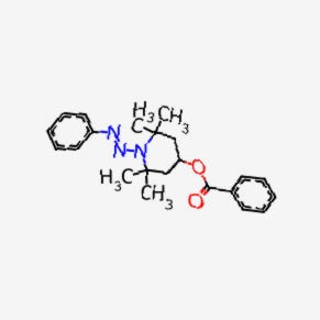 CC1(C)CC(OC(=O)c2ccccc2)CC(C)(C)N1/N=N/c1ccccc1